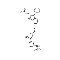 CS(=O)(=O)Nc1cccc(C(O)CNCCOc2ccc3c(-c4ccccc4)c(CCC(=O)O)[nH]c3c2)c1